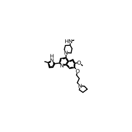 CNC1CCN(c2cc(-c3ccc(C)[nH]3)nc3cc(OCCCN4CCCC4)c(OC)cc23)CC1